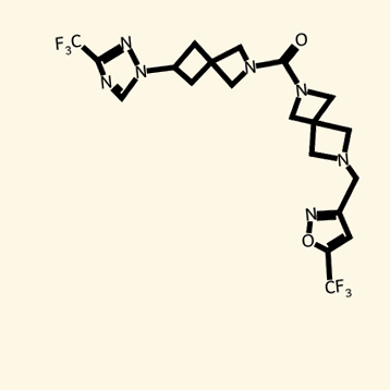 O=C(N1CC2(CC(n3cnc(C(F)(F)F)n3)C2)C1)N1CC2(CN(Cc3cc(C(F)(F)F)on3)C2)C1